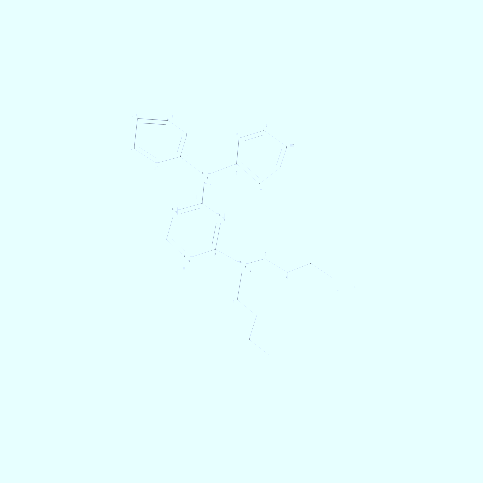 CCCCN(CCCC)c1ncnc(N(c2ccccc2)c2ccccc2)n1